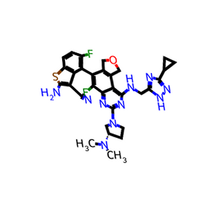 CN(C)[C@H]1CCN(c2nc(NCc3nc(C4CC4)n[nH]3)c3c4c(c(-c5c(F)ccc6sc(N)c(C#N)c56)c(F)c3n2)COC4)C1